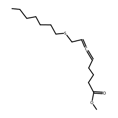 CCCCCCCSCC=C=CCCCC(=O)OC